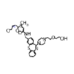 CN(CC(=O)NCc1ccc2c(c1)Sc1ccccc1N=C2N1CCN(CCOCCO)CC1)C(=O)/C=C\C=O